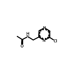 CC(=O)NCc1cncc(Cl)n1